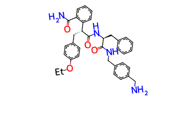 CCOc1ccc(C[C@@H](C(=O)N[C@@H](Cc2ccccc2)C(=O)NCc2ccc(CN)cc2)c2ccccc2C(N)=O)cc1